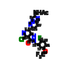 CC(=O)Nc1cn2nc(-c3cnc(Cl)c(C(=O)NCc4cc(OC(F)(F)F)ccc4F)c3)ccc2n1